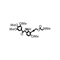 CNCC(=O)OCC#Cc1c(OC)ccc2c(C(=O)c3cc(OC)c(OC)c(OC)c3)n[nH]c12